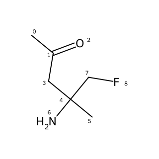 CC(=O)CC(C)(N)CF